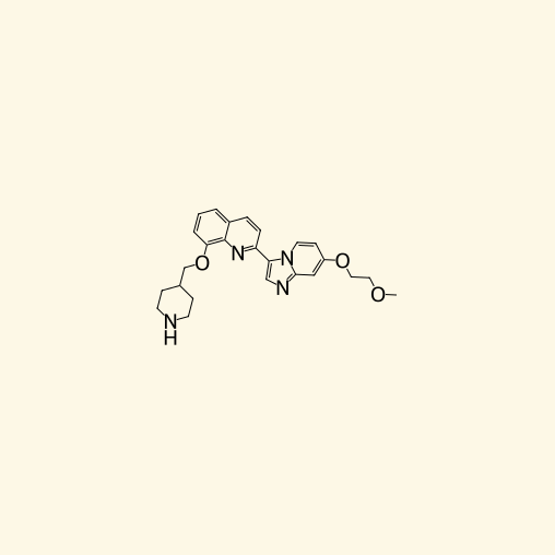 COCCOc1ccn2c(-c3ccc4cccc(OCC5CCNCC5)c4n3)cnc2c1